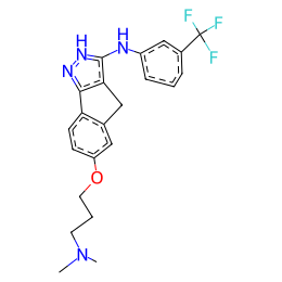 CN(C)CCCOc1ccc2c(c1)Cc1c-2n[nH]c1Nc1cccc(C(F)(F)F)c1